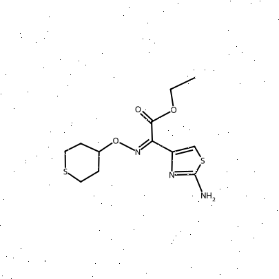 CCOC(=O)C(=NOC1CCSCC1)c1csc(N)n1